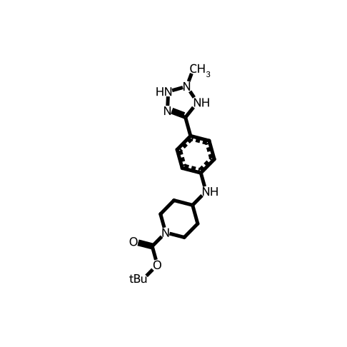 CN1NN=C(c2ccc(NC3CCN(C(=O)OC(C)(C)C)CC3)cc2)N1